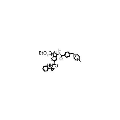 CCOC(=O)n1nc(NC(=O)c2ccc(CN3CCN(C)CC3)cc2)c2cc(C(=O)NC3(c4ccccc4)CC3)sc21